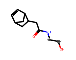 O=C(CC1CC2C=CC1C2)NBBO